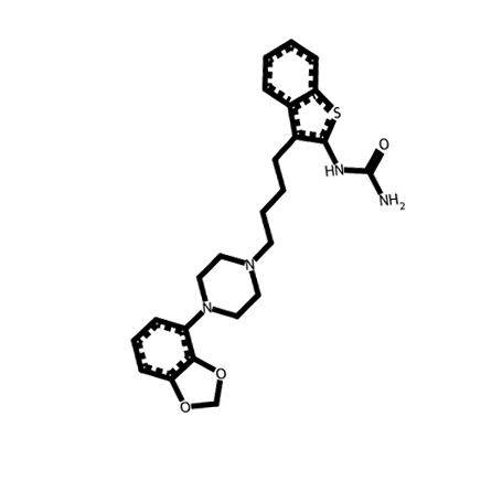 NC(=O)Nc1sc2ccccc2c1CCCCN1CCN(c2cccc3c2OCO3)CC1